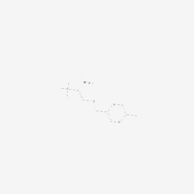 Cc1ccc(CN/C=C(\C(=O)O)C(F)(F)F)cc1